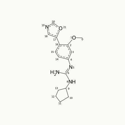 COc1cc(/N=C(\N)NC2CCCC2)ccc1-c1cnco1